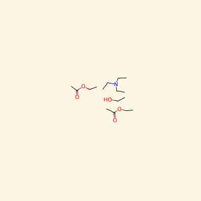 CCN(CC)CC.CCO.CCOC(C)=O.CCOC(C)=O